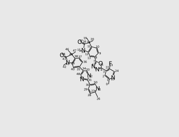 Cc1cc(-c2nnc(-c3ccc4c(c3)N(C)C(=O)C4(C)C)o2)c(F)cn1.Cc1ccc(-c2ncc(-c3ccc4c(c3)N(C)C(=O)C4(C)C)cn2)cn1